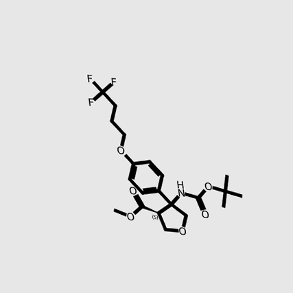 COC(=O)[C@@H]1COCC1(NC(=O)OC(C)(C)C)c1ccc(OCCCC(F)(F)F)cc1